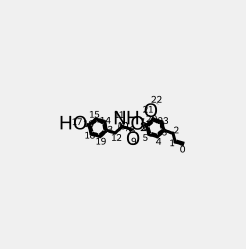 C=CCc1ccc(OC(=O)[C@@H](N)Cc2ccc(O)cc2)c(OC)c1